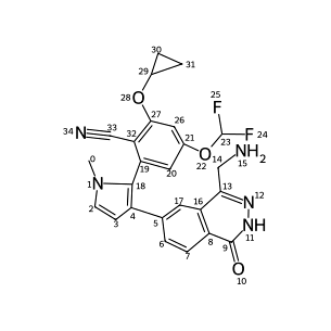 Cn1ccc(-c2ccc3c(=O)[nH]nc(CN)c3c2)c1-c1cc(OC(F)F)cc(OC2CC2)c1C#N